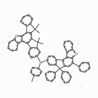 Cc1ccc(N(c2ccc3c(c2)C(C)(C)c2c4c(c5oc6ccccc6c5c2-3)-c2ccccc2C4(C)C)c2ccc3c(c2)C(c2ccccc2)(c2ccccc2)c2cc(-c4ccccc4)c4oc5ccccc5c4c2-3)cc1